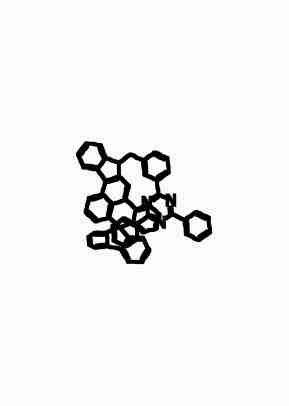 c1ccc(-c2nc(-c3ccccc3)nc(-c3cccc(CC4c5ccccc5-c5c4cc4c6c(cccc56)C5(c6ccccc6-c6ccccc65)c5ccccc5-4)c3)n2)cc1